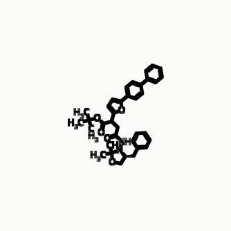 CC(C)(C)OC(=O)C(CC(=O)NN1[C@@H](Cc2ccccc2)COC1(C)C)c1ccc(-c2ccc(-c3ccccc3)cc2)o1